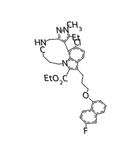 CCOC(=O)c1c(CCCOc2cccc3cc(F)ccc23)c2ccc(Cl)c3c2n1CCCCNCc1nn(C)c(CC)c1-3